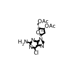 CC(=O)OC[C@H]1O[C@@H](n2cnc3c(Cl)nc(N)nc32)C[C@@H]1OC(C)=O